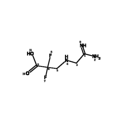 N=C(N)CNCC(F)(F)C(=O)O